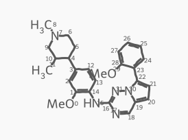 COc1cc(C2CCN(C)CC2C)ccc1Nc1ncc2ccc(-c3ccccc3OC)n2n1